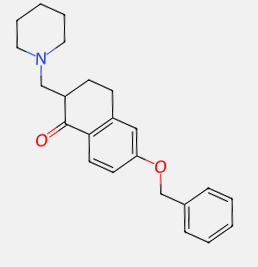 O=C1c2ccc(OCc3ccccc3)cc2CCC1CN1CCCCC1